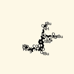 CC(C)(C)OC(=O)NCCC[n+]1cc(-c2ccc3c(c2)CCC(C(C)(O/N=C(\C(=O)O)c2csc(NC(=O)OC(C)(C)C)n2)C(=O)OC(C)(C)C)O3)cn1CC(CNC(=O)OC(C)(C)C)O[Si](C)(C)C(C)(C)C